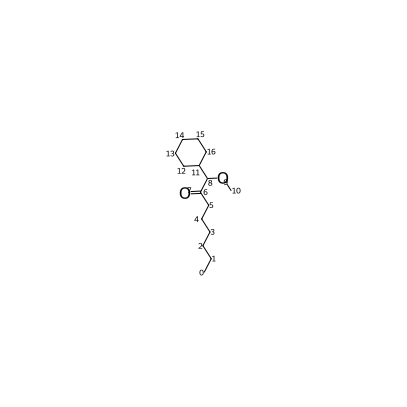 CCCCCCC(=O)C(OC)C1CCCCC1